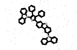 c1ccc(-c2c(-c3ccc4c(c3)oc3ccc(-n5c6ccccc6c6ccccc65)cc34)sc(-n3c4ccccc4c4ccccc43)c2-c2ccccc2)cc1